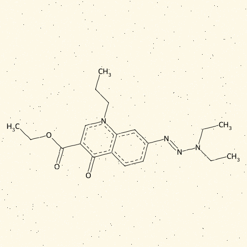 CCCn1cc(C(=O)OCC)c(=O)c2ccc(N=NN(CC)CC)cc21